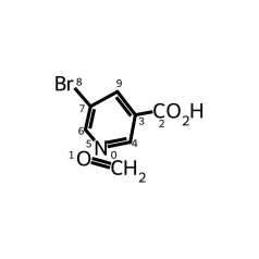 C=O.O=C(O)c1cncc(Br)c1